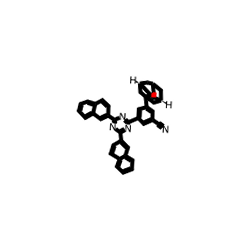 N#Cc1cc(-c2nc(-c3ccc4ccccc4c3)nc(-c3ccc4ccccc4c3)n2)cc(C23CC4C[C@H](C2)C[C@@H](C4)C3)c1